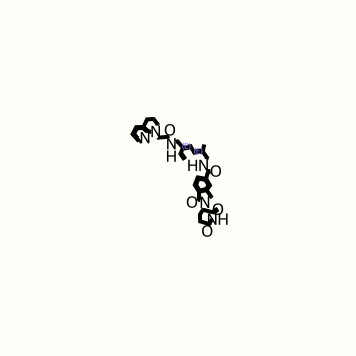 C=C/C(=C\C=C(/C)CNC(=O)c1ccc2c(c1)CN(C1CCC(=O)NC1=O)C2=O)CNC(=O)CN1CCCc2cccnc21